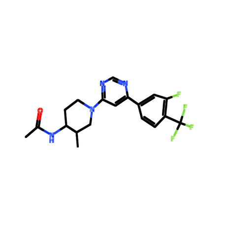 CC(=O)NC1CCN(c2cc(-c3ccc(C(F)(F)F)c(F)c3)ncn2)CC1C